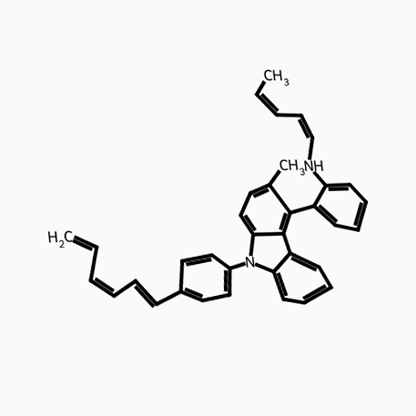 C=C/C=C\C=Cc1ccc(-n2c3ccccc3c3c(-c4ccccc4N/C=C\C=C/C)c(C)ccc32)cc1